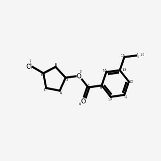 O=C(OC1CCC(Cl)C1)c1cccc(CI)c1